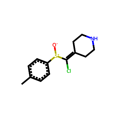 Cc1ccc([S+]([O-])C(Cl)=C2CCNCC2)cc1